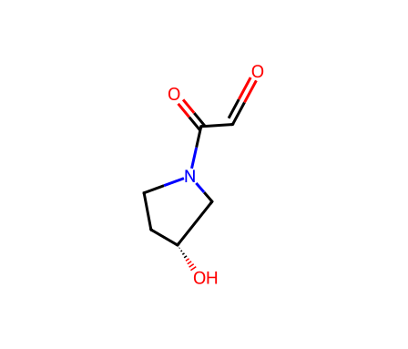 O=CC(=O)N1CC[C@@H](O)C1